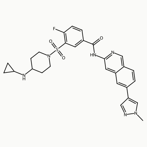 Cn1cc(-c2ccc3cnc(NC(=O)c4ccc(F)c(S(=O)(=O)N5CCC(NC6CC6)CC5)c4)cc3c2)cn1